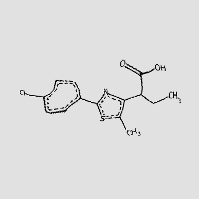 CCC(C(=O)O)c1nc(-c2ccc(Cl)cc2)sc1C